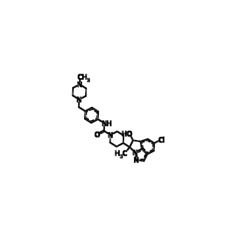 CN1CCN(Cc2ccc(NC(=O)N3CCC(C4(C)C(O)c5cc(Cl)cc6cnn4c56)CC3)cc2)CC1